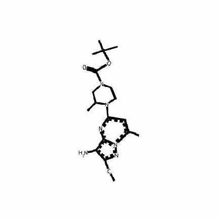 CCc1nn2c(C)cc(N3CCN(C(=O)OC(C)(C)C)CC3C)nc2c1N